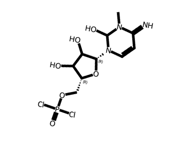 CN1C(=N)C=CN([C@@H]2O[C@H](COP(=O)(Cl)Cl)C(O)C2O)C1O